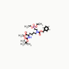 CCOP(=O)(CCN(CCCC[C@@H](NC(=O)OC(C)(C)C)C(=O)OC)C(=O)OCc1ccccc1)OCC